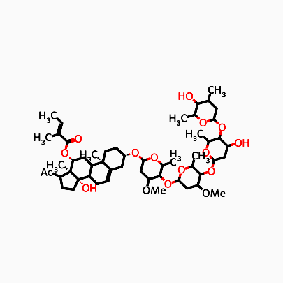 C/C=C(\C)C(=O)O[C@@H]1CC2C(CC=C3C[C@@H](OC4CC(OC)C(OC5CC(OC)C(OC6CC(O)C(OC7CC(C)C(O)C(C)O7)C(C)O6)C(C)O5)C(C)O4)CC[C@@]32C)[C@@]2(O)CCC(C(C)=O)[C@@]12C